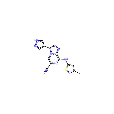 Cc1cc(Nc2nc(C#N)cn3c(-c4cn[nH]c4)cnc23)sn1